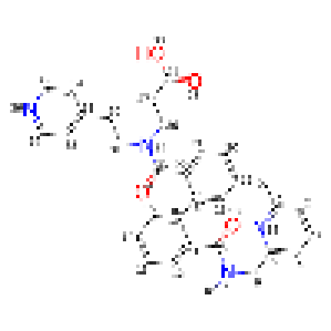 Cc1cccc(CN(C)C(=O)c2ccccc2-c2ccccc2C(=O)N(CCC(=O)O)CCc2ccncc2)n1